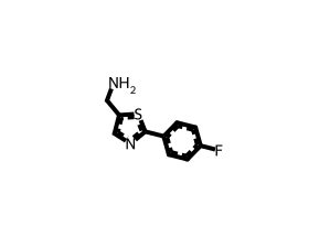 NCc1cnc(-c2ccc(F)cc2)s1